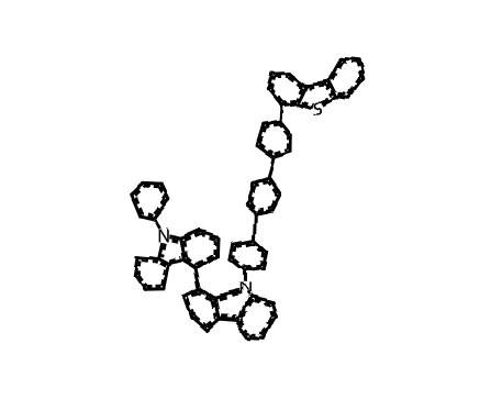 c1ccc(-n2c3ccccc3c3c(-c4cccc5c6ccccc6n(-c6ccc(-c7ccc(-c8ccc(-c9cccc%10c9sc9ccccc9%10)cc8)cc7)cc6)c45)cccc32)cc1